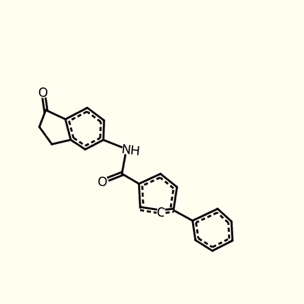 O=C(Nc1ccc2c(c1)CCC2=O)c1ccc(-c2ccccc2)cc1